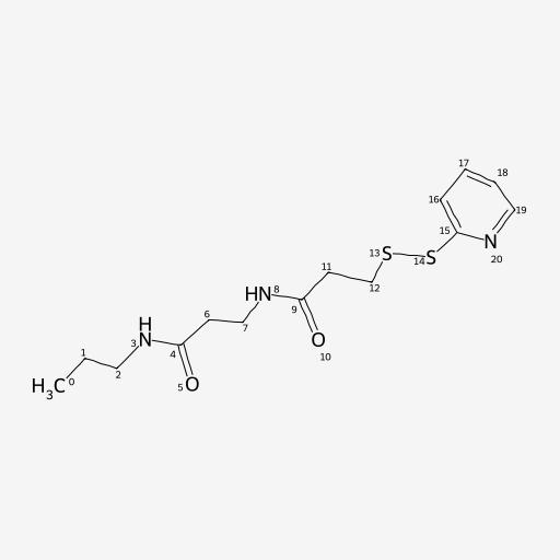 CCCNC(=O)CCNC(=O)CCSSc1ccccn1